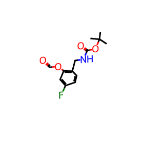 CC(C)(C)OC(=O)NCc1ccc(F)cc1OC=O